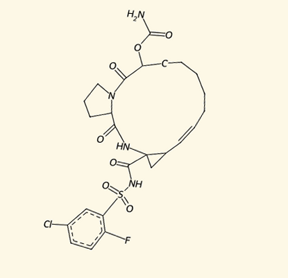 NC(=O)OC1CCCCCC=CC2CC2(C(=O)NS(=O)(=O)c2cc(Cl)ccc2F)NC(=O)C2CCCN2C1=O